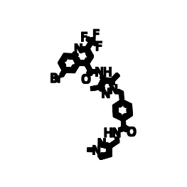 Cc1nn(Cc2ccc(C(=O)NCc3ccn(C)n3)cc2)c(C)c1NC(=O)c1cc(C(F)(F)F)nc2ccc(Br)cc12